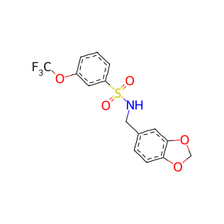 O=S(=O)(NCc1ccc2c(c1)OCO2)c1cccc(OC(F)(F)F)c1